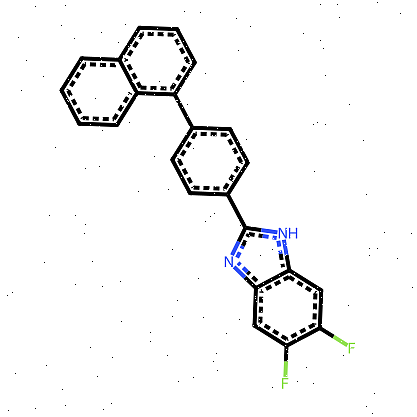 Fc1cc2nc(-c3ccc(-c4cccc5ccccc45)cc3)[nH]c2cc1F